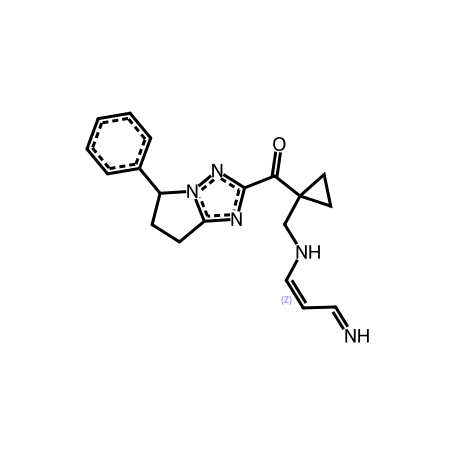 N=C/C=C\NCC1(C(=O)c2nc3n(n2)C(c2ccccc2)CC3)CC1